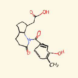 Cc1ccc(C(=O)N2C(=O)CCC3CCC(CC(=O)O)C32)cc1O